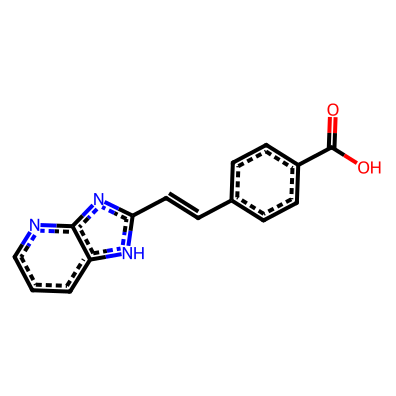 O=C(O)c1ccc(/C=C/c2nc3ncccc3[nH]2)cc1